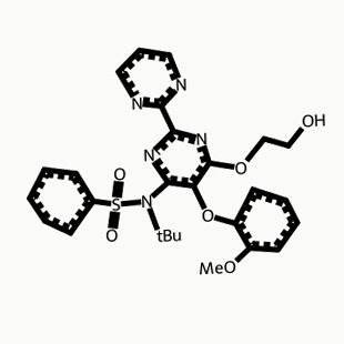 COc1ccccc1Oc1c(OCCO)nc(-c2ncccn2)nc1N(C(C)(C)C)S(=O)(=O)c1ccccc1